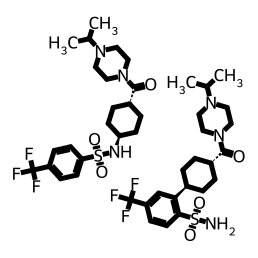 CC(C)N1CCN(C(=O)[C@H]2CC[C@H](NS(=O)(=O)c3ccc(C(F)(F)F)cc3)CC2)CC1.CC(C)N1CCN(C(=O)[C@H]2CC[C@H](c3cc(C(F)(F)F)ccc3S(N)(=O)=O)CC2)CC1